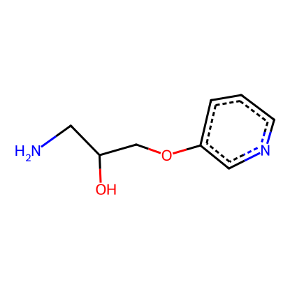 NCC(O)COc1cccnc1